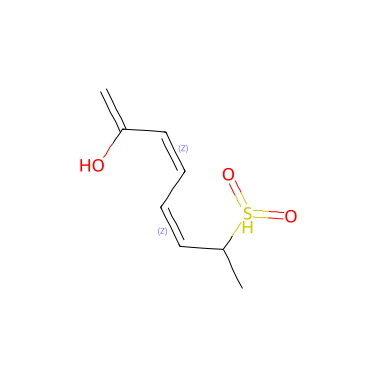 C=C(O)/C=C\C=C/C(C)[SH](=O)=O